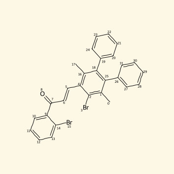 Cc1c(Br)c(/C=C/C(=O)c2ccccc2Br)c(C)c(-c2ccccc2)c1-c1ccccc1